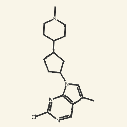 Cc1cn(C2CCC(C3CCN(C)CC3)C2)c2nc(Cl)ncc12